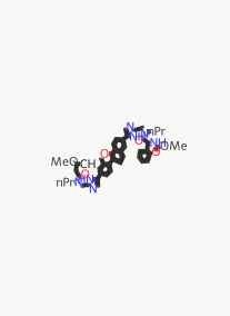 CCCN(Cc1ncc(-c2ccc3c(c2)COc2c-3ccc3cc(-c4cnc(CN(CCC)C(=O)[C@H](NC(=O)OC)c5ccccc5)[nH]4)ccc23)[nH]1)C(=O)C[C@@H](C)OC